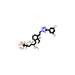 C[C@H](CCC(F)(F)C(C)(C)O)[C@H]1CC[C@H]2/C(=C/Cn3nnc(-c4cc(Cl)cc(Cl)c4)n3)CCC[C@]12C